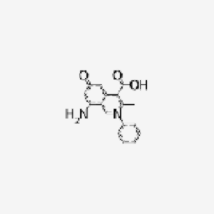 Cc1c(C(=O)O)c2cc(=O)cc(N)c-2cn1-c1ccccc1